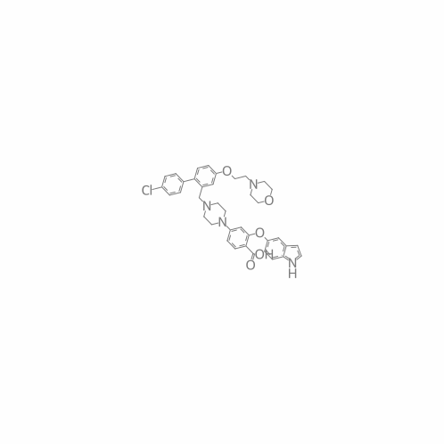 O=C(O)c1ccc(N2CCN(Cc3cc(OCCN4CCOCC4)ccc3-c3ccc(Cl)cc3)CC2)cc1Oc1ccc2[nH]ccc2c1